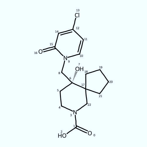 O=C(O)N1CC[C@@](O)(Cn2ccc(Cl)cc2=O)C2(CCCC2)C1